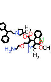 COC(=O)C1=C(C)NC(COCCN)=C(C(=O)O[C@@]2(C)CCN(CCC(c3ccccc3)c3ccccc3)C2)C1c1ccccc1Cl